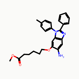 COC(=O)CCCCCOc1cc2c(cc1N)nc(-c1ccccc1)n2-c1ccc(C)cc1